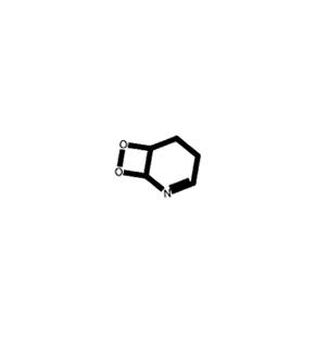 C1=NC2OOC2CC1